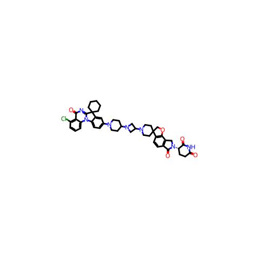 O=C1CC[C@H](N2Cc3c(ccc4c3OCC43CCN(C4CN(C5CCN(c6ccc7c(c6)C6(CCCCC6)c6nc(=O)c8c(Cl)cccc8n6-7)CC5)C4)CC3)C2=O)C(=O)N1